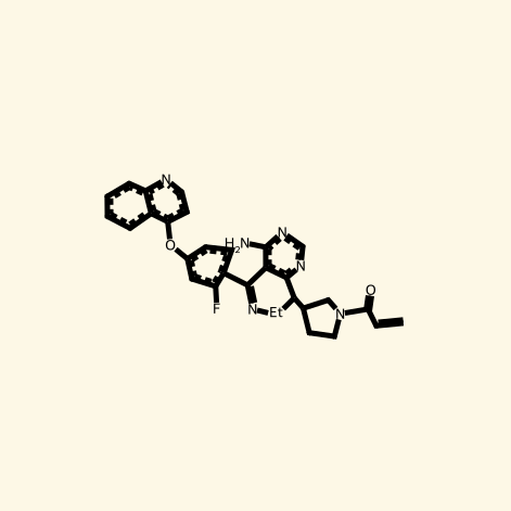 C=CC(=O)N1CCC(C(CC)c2ncnc(N)c2/C(=N\C)c2ccc(Oc3ccnc4ccccc34)cc2F)C1